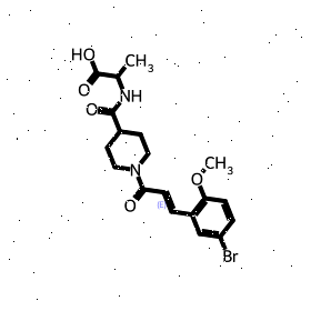 COc1ccc(Br)cc1/C=C/C(=O)N1CCC(C(=O)NC(C)C(=O)O)CC1